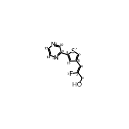 OCC(F)=Cc1csc(-c2cnccn2)c1